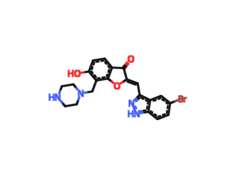 O=C1C(=Cc2n[nH]c3ccc(Br)cc23)Oc2c1ccc(O)c2CN1CCNCC1